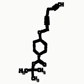 C#CCC#CCOC1CCN(C(=O)OC(C)(C)C)CC1